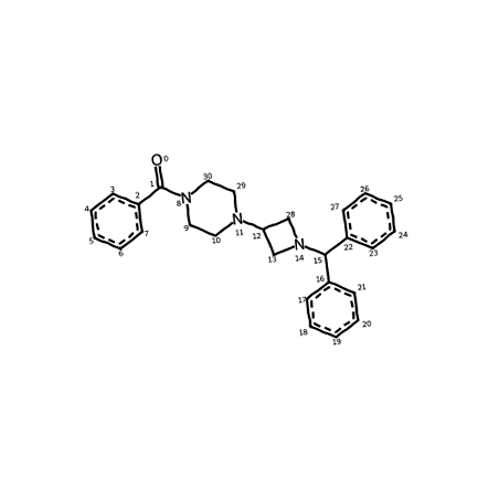 O=C(c1ccccc1)N1CCN(C2CN(C(c3ccccc3)c3ccccc3)C2)CC1